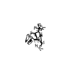 CCn1nc(C(F)(F)F)c2c1CS(=O)(=O)C2